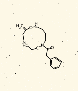 C=C1CNCCCN(C(=O)Cc2ccccc2)CCCNC1